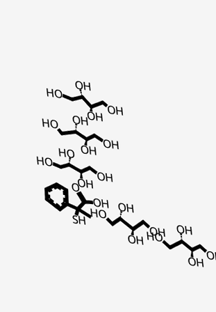 CC(S)(C(=O)O)c1ccccc1.OC[C@@H](O)[C@@H](O)CO.OC[C@@H](O)[C@@H](O)CO.OC[C@@H](O)[C@@H](O)CO.OC[C@@H](O)[C@@H](O)CO.OC[C@@H](O)[C@@H](O)CO